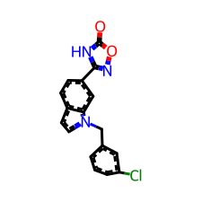 O=c1[nH]c(-c2ccc3ccn(Cc4cccc(Cl)c4)c3c2)no1